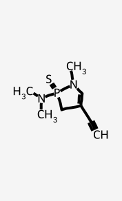 C#CC1=CN(C)P(=S)(N(C)C)C1